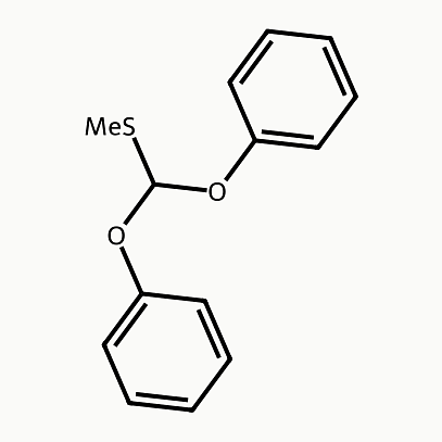 CSC(Oc1ccccc1)Oc1ccccc1